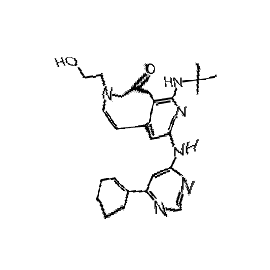 CC(C)(C)Nc1nc(Nc2cc(C3=CCCCC3)ncn2)cc2ccn(CCO)c(=O)c12